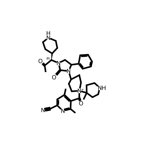 CC(=O)[C@@H](C1CCNCC1)N1CC(c2ccccc2)N(C2CC[N+](C(=O)c3c(C)cc(C#N)nc3C)(C3(C)CCNCC3)CC2)C1=O